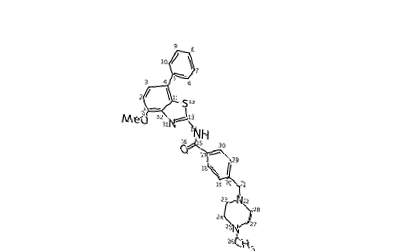 COc1ccc(-c2ccccc2)c2sc(NC(=O)c3ccc(CN4CCN(C)CC4)cc3)nc12